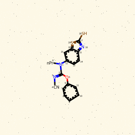 CCCN(C(=NC#N)Oc1ccccc1)c1ccc2nc(S)sc2c1